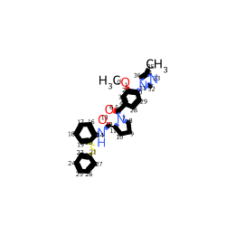 COc1cc(C(=O)N2CCC[C@H]2C(=O)Nc2ccccc2Sc2ccccc2)ccc1-n1cnc(C)c1